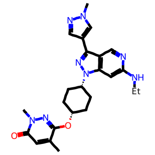 CCNc1cc2c(cn1)c(-c1cnn(C)c1)nn2[C@H]1CC[C@@H](Oc2nn(C)c(=O)cc2C)CC1